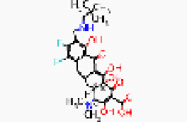 CN(C)[C@@H]1C(O)=C(C(=O)O)C(=O)[C@@]2(O)C(O)=C3C(=O)c4c(O)c(CNCC(C)(C)C)c(F)c(F)c4CC3C[C@@H]12